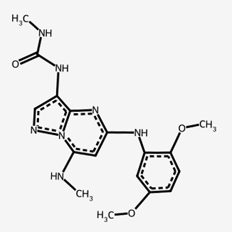 CNC(=O)Nc1cnn2c(NC)cc(Nc3cc(OC)ccc3OC)nc12